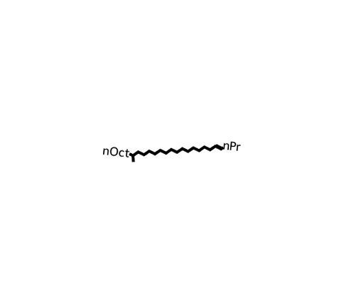 [CH2]CCC=CCCCCCCCCCCCCCCC(C)CCCCCCC[CH2]